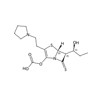 CC[C@H](O)[C@H]1C(=S)N2C(OC(=O)O)=C(CCN3CCCC3)S[C@H]12